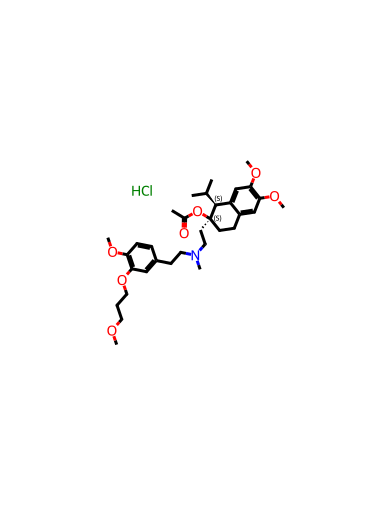 COCCCOc1cc(CCN(C)CC[C@@]2(OC(C)=O)CCc3cc(OC)c(OC)cc3[C@@H]2C(C)C)ccc1OC.Cl